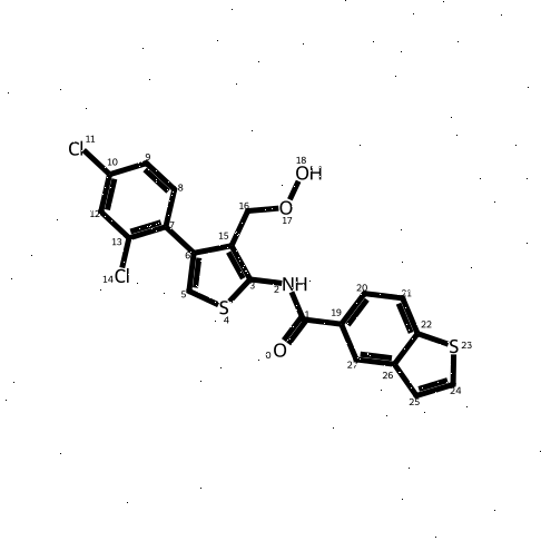 O=C(Nc1scc(-c2ccc(Cl)cc2Cl)c1COO)c1ccc2sccc2c1